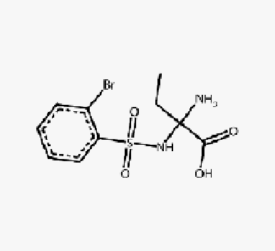 CCC(N)(NS(=O)(=O)c1ccccc1Br)C(=O)O